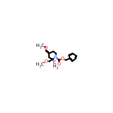 COC=C1CCN(C(=O)OCc2ccccc2)C(C)(COC)C1